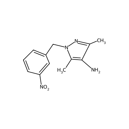 Cc1nn(Cc2cccc([N+](=O)[O-])c2)c(C)c1N